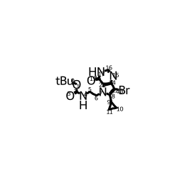 CC(C)(C)OC(=O)NCCn1c(C2CC2)c(Br)c2nc[nH]c(=O)c21